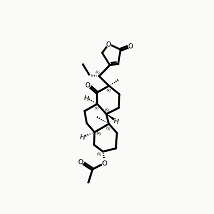 CC[C@H](C1=CC(=O)OC1)[C@@]1(C)CC[C@H]2[C@@H](CC[C@@H]3C[C@@H](OC(C)=O)CC[C@@]32C)C1=O